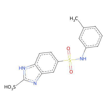 Cc1cccc(NS(=O)(=O)c2ccc3[nH]c(S(=O)(=O)O)nc3c2)c1